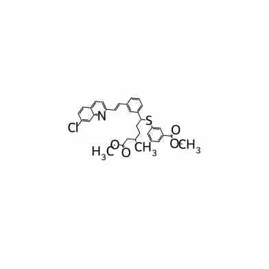 COC(=O)CC(C)CCC(Sc1cccc(C(=O)OC)c1)c1cccc(/C=C/c2ccc3ccc(Cl)cc3n2)c1